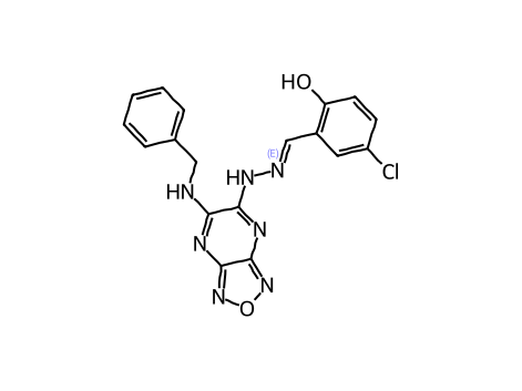 Oc1ccc(Cl)cc1/C=N/Nc1nc2nonc2nc1NCc1ccccc1